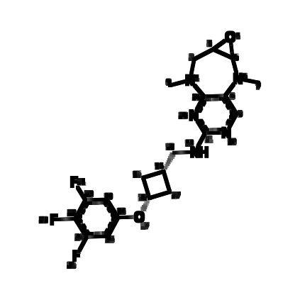 CN1CC2OC2N(C)c2cnc(NC[C@H]3C[C@@H](Oc4cc(F)c(F)c(F)c4)C3)nc21